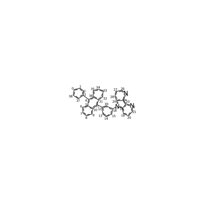 c1ccc(-c2c3ccccc3c(-c3cccc(-n4c5cccnc5c5ncccc54)c3)c3ccccc23)cc1